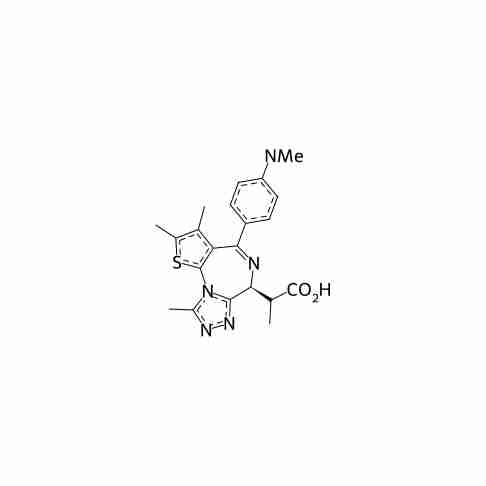 CNc1ccc(C2=N[C@@H](C(C)C(=O)O)c3nnc(C)n3-c3sc(C)c(C)c32)cc1